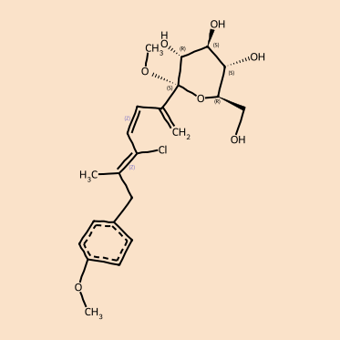 C=C(/C=C\C(Cl)=C(/C)Cc1ccc(OC)cc1)[C@]1(OC)O[C@H](CO)[C@@H](O)[C@H](O)[C@H]1O